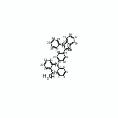 C[SiH]1c2ccccc2N(c2ccc(-c3nc4ccccc4n3-c3ccccc3)cc2)c2ccccc21